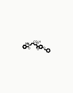 O=C(CC(CCn1nnc2ccccc2c1=O)C(=O)O)c1coc2cc(OCC3CCCCC3)ccc12